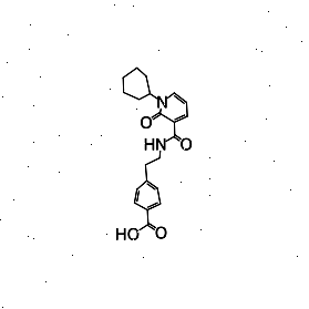 O=C(O)c1ccc(CCNC(=O)c2cccn(C3CCCCC3)c2=O)cc1